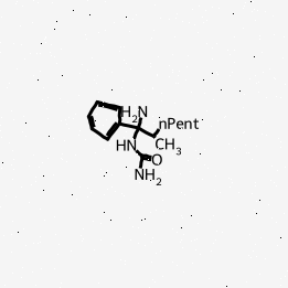 CCCCCC(C)C(N)(NC(N)=O)c1ccccc1